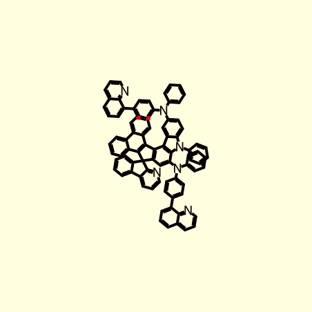 c1ccc(N(c2ccc(-c3cccc4cccnc34)cc2)c2ccc3c(c2)c2c4c(cc(N(c5ccccc5)c5ccc(-c6cccc7cccnc67)cc5)c2n3-c2ccccc2)C2(c3ccccc3-c3cccnc32)c2c-4c3ccccc3c3ccccc23)cc1